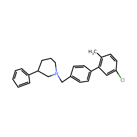 Cc1ccc(Cl)cc1-c1ccc(CN2CCCC(c3ccccc3)C2)cc1